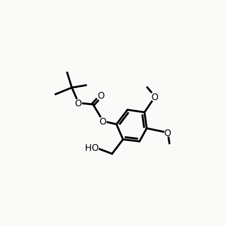 COc1cc(CO)c(OC(=O)OC(C)(C)C)cc1OC